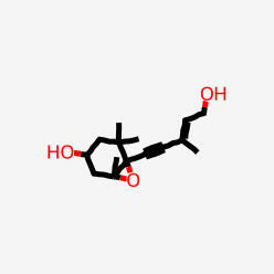 CC(C#CC12OC1(C)CC(O)CC2(C)C)=CCO